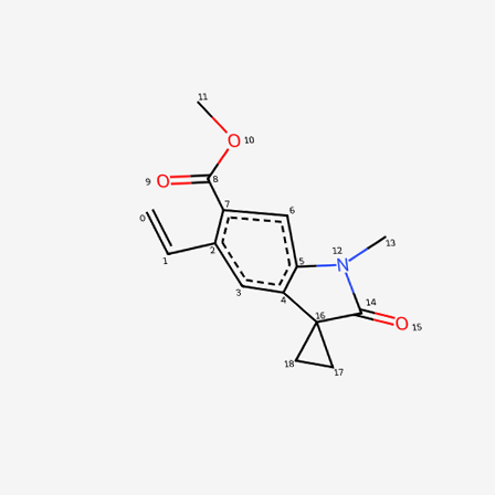 C=Cc1cc2c(cc1C(=O)OC)N(C)C(=O)C21CC1